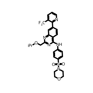 CC(C)OCc1nc(Nc2ccc(S(=O)(=O)N3CCOCC3)cc2)c2ccc(-c3ncccc3C(F)(F)F)cc2n1